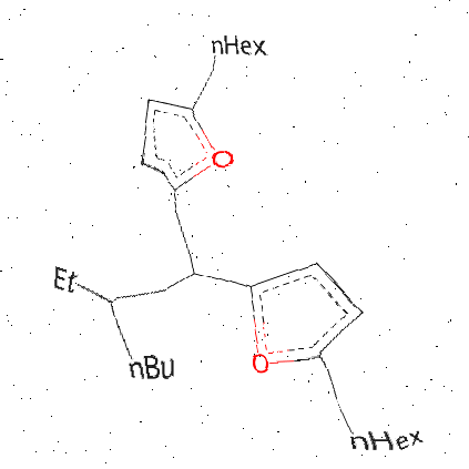 CCCCCCc1ccc(C(c2ccc(CCCCCC)o2)C(CC)CCCC)o1